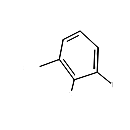 O=C(O)c1cccc(I)c1Br